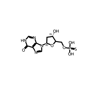 O=c1[nH]cnc2c1ncn2[C@H]1C[C@H](O)C(COP(O)(O)=S)O1